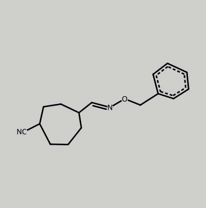 N#CC1CCCC(C=NOCc2ccccc2)CC1